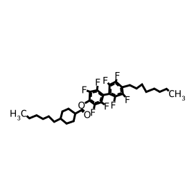 CCCCCCCCc1c(F)c(F)c(-c2c(F)c(F)c(OC(=O)C3CCC(CCCCCC)CC3)c(F)c2F)c(F)c1F